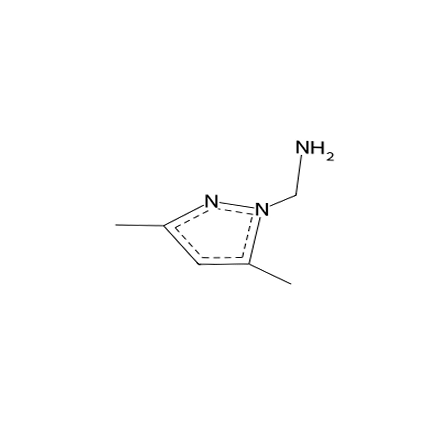 Cc1cc(C)n(CN)n1